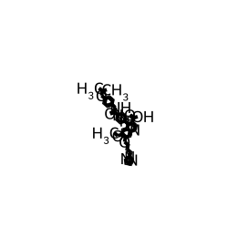 COc1cc2c(N3CCN(C(=O)Nc4ccc(OC(C)C)cc4)CC3)c(C(=O)O)cnc2cc1OCCCn1nccn1